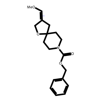 CO/C=C1\COC2(CCN(C(=O)OCc3ccccc3)CC2)C1